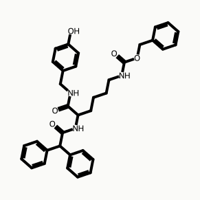 O=C(NCCCCC(NC(=O)C(c1ccccc1)c1ccccc1)C(=O)NCc1ccc(O)cc1)OCc1ccccc1